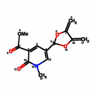 C=C1OB(c2cc(C(=O)OC)c(=O)n(C)c2)OC1=C